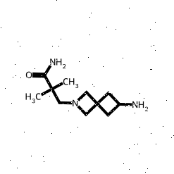 CC(C)(CN1CC2(CC(N)C2)C1)C(N)=O